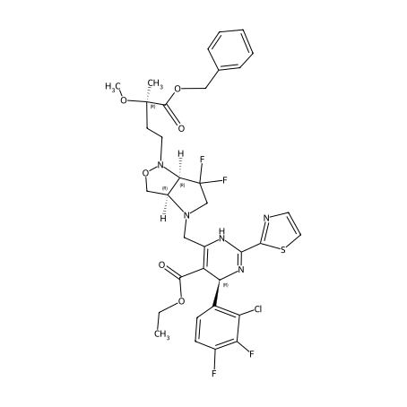 CCOC(=O)C1=C(CN2CC(F)(F)[C@H]3[C@@H]2CON3CC[C@@](C)(OC)C(=O)OCc2ccccc2)NC(c2nccs2)=N[C@H]1c1ccc(F)c(F)c1Cl